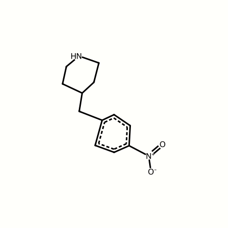 O=[N+]([O-])c1ccc(CC2CCNCC2)cc1